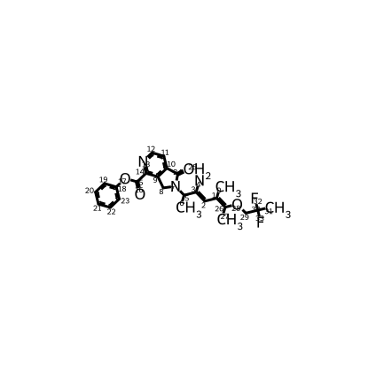 CC(/C=C(\N)C(C)N1Cc2c(ccnc2C(=O)Oc2ccccc2)C1=O)=C(/C)OCC(C)(F)F